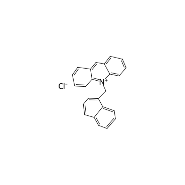 [Cl-].c1ccc2c(C[n+]3c4ccccc4cc4ccccc43)cccc2c1